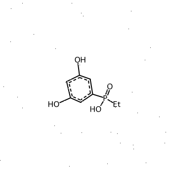 CCP(=O)(O)c1cc(O)cc(O)c1